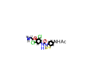 CC(=O)Nc1ccc(N(S)C(=O)Nc2cc(Cl)c(OCCN(C)C)c(Cl)c2)cc1